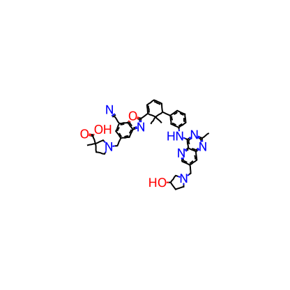 Cc1nc(Nc2cccc(C3C=CC=C(c4nc5cc(CN6CCC(C)(C(=O)O)C6)cc(C#N)c5o4)C3(C)C)c2)c2ncc(CN3CCC(O)C3)cc2n1